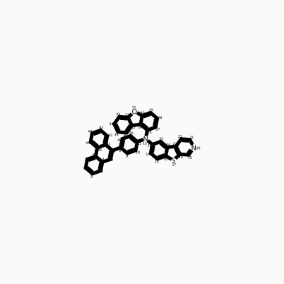 c1ccc2c(c1)cc(-c1ccc(N(c3ccc4sc5cnccc5c4c3)c3cccc4oc5ccccc5c34)cc1)c1ccccc12